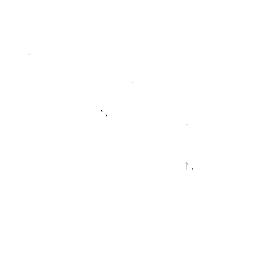 CC(C)(C)c1ccc(N(c2ccc(F)cc2)c2cc3c(c4ccccc24)-c2c(ccc4ccccc24)C32c3ccccc3N(c3ccccc3)c3ccccc32)cc1